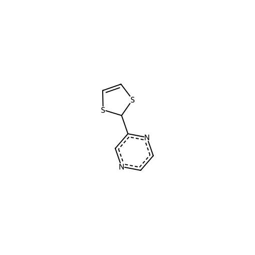 C1=CSC(c2cnccn2)S1